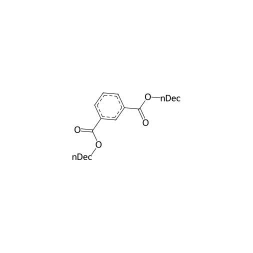 CCCCCCCCCCOC(=O)c1cccc(C(=O)OCCCCCCCCCC)c1